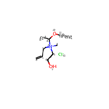 C=CC[N+](C)(CCO)C(CC)OCCCCC.[Cl-]